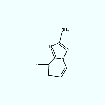 Nc1nc2c(F)cccn2n1